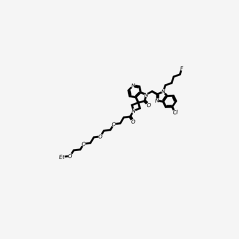 CCOCCOCCOCCOCCC(=O)N1CC2(C1)C(=O)N(Cc1nc3cc(Cl)ccc3n1CCCCF)c1cnccc12